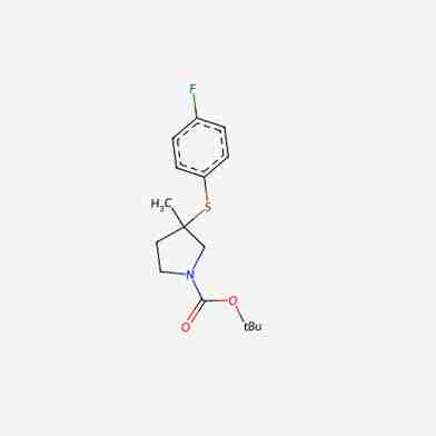 CC(C)(C)OC(=O)N1CCC(C)(Sc2ccc(F)cc2)C1